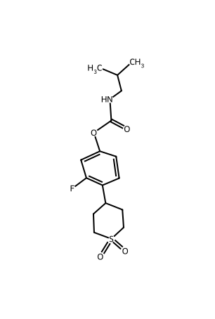 CC(C)CNC(=O)Oc1ccc(C2CCS(=O)(=O)CC2)c(F)c1